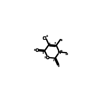 C=C1OC(=O)C(Cl)=C(C)N1C